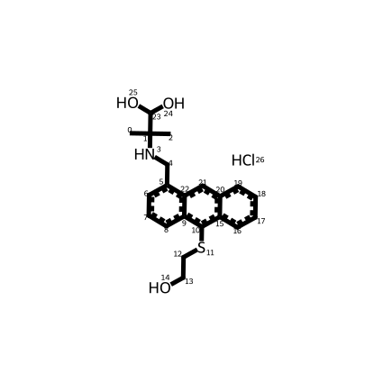 CC(C)(NCc1cccc2c(SCCO)c3ccccc3cc12)C(O)O.Cl